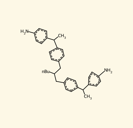 CCCCC(Cc1ccc(C(C)c2ccc(N)cc2)cc1)Cc1ccc(C(C)c2ccc(N)cc2)cc1